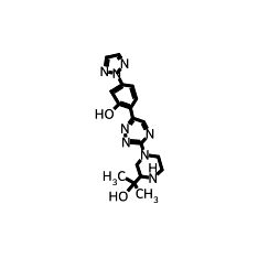 CC(C)(O)C1CN(c2ncc(-c3ccc(-n4nccn4)cc3O)nn2)CCN1